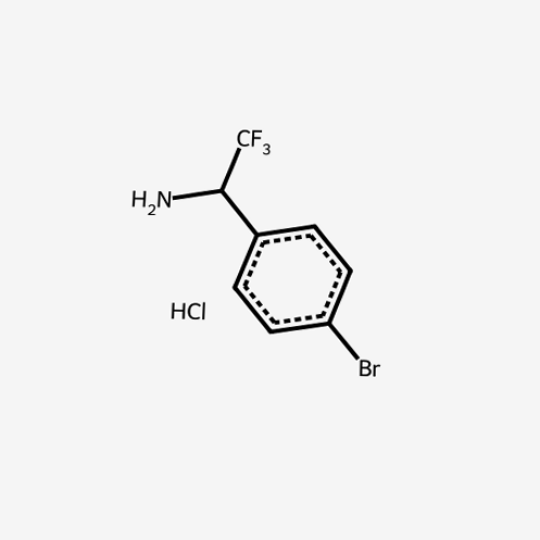 Cl.NC(c1ccc(Br)cc1)C(F)(F)F